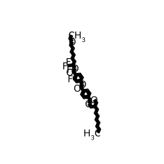 CCCCCCCCC1COC(c2ccc(C(=O)Oc3ccc(C(=O)OC(CCCCCCOCC)C(F)(F)F)c(F)c3)cc2)OC1